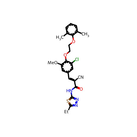 CCc1nnc(NC(=O)/C(C#N)=C/c2cc(Cl)c(OCCOc3c(C)cccc3C)c(OC)c2)s1